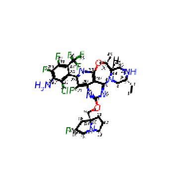 CC[C@@H]1CN2c3nc(OC[C@@]45CCCN4C[C@H](F)C5)nc4c(F)c(-c5c(Cl)c(N)c(F)c(F)c5C(F)(F)F)nc(c34)O[C@@H](C)[C@@H]2CN1